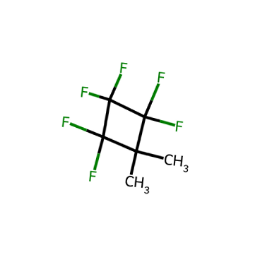 CC1(C)C(F)(F)C(F)(F)C1(F)F